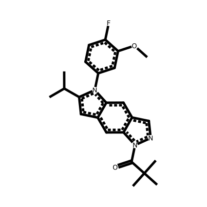 COc1cc(-n2c(C(C)C)cc3cc4c(cnn4C(=O)C(C)(C)C)cc32)ccc1F